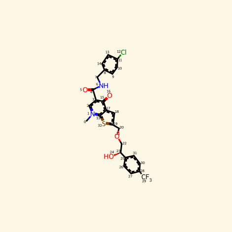 Cn1cc(C(=O)NCc2ccc(Cl)cc2)c(=O)c2cc(COC[C@H](O)c3ccc(C(F)(F)F)cc3)sc21